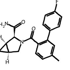 Cc1ccc(C(=O)N2C[C@H]3C[C@H]3[C@H]2C(N)=O)c(-c2ccc(F)cc2)c1